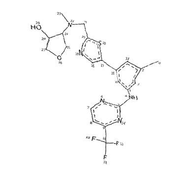 Cc1cc(Nc2nccc(C(F)(F)F)n2)cc(-c2cnc(CN(C)C3COCC3O)s2)c1